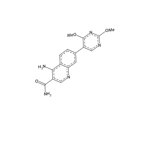 COc1ncc(-c2ccc3c(N)c(C(N)=O)cnc3c2)c(OC)n1